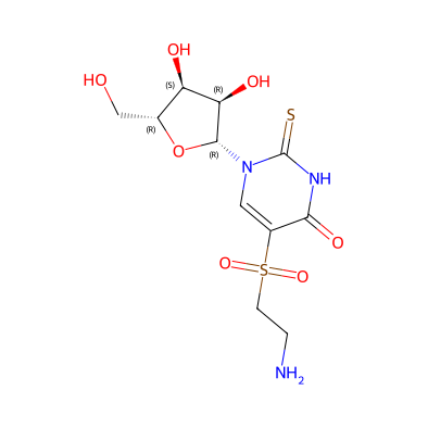 NCCS(=O)(=O)c1cn([C@@H]2O[C@H](CO)[C@@H](O)[C@H]2O)c(=S)[nH]c1=O